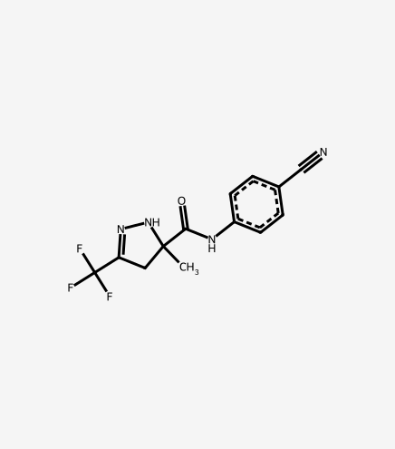 CC1(C(=O)Nc2ccc(C#N)cc2)CC(C(F)(F)F)=NN1